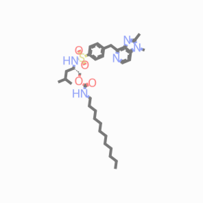 CCCCCCCCCCCCNC(=O)OC[C@H](CC(C)C)NS(=O)(=O)c1ccc(Cc2nccc3c2nc(C)n3C)cc1